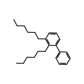 CCCCCCc1[c]ccc(-c2ccccc2)c1CCCCCC